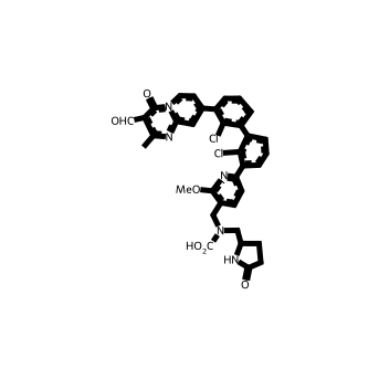 COc1nc(-c2cccc(-c3cccc(-c4ccn5c(=O)c(C=O)c(C)nc5c4)c3Cl)c2Cl)ccc1CN(CC1CCC(=O)N1)C(=O)O